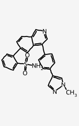 Cn1cc(-c2ccc(-c3cncc4ccc(-c5ccccc5S(N)(=O)=O)cc34)cc2)cn1